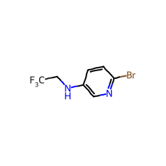 FC(F)(F)CNc1ccc(Br)nc1